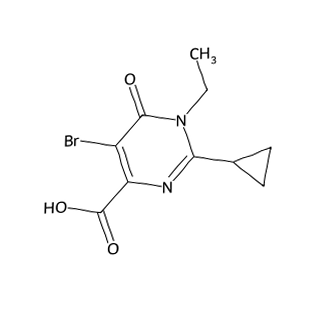 CCn1c(C2CC2)nc(C(=O)O)c(Br)c1=O